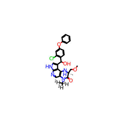 [2H]C([2H])([2H])N1C(=O)[C@](C)(COC)Nc2c1cnc1[nH]cc(C(O)c3ccc(Oc4ccccc4)cc3Cl)c21